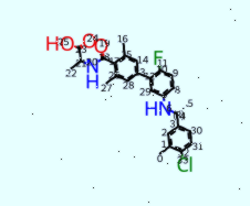 Cc1cc([C@@H](C)Nc2ccc(F)c(-c3cc(C)c(C(=O)NC(C)C(=O)O)c(C)c3)c2)ccc1Cl